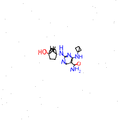 C[C@H]1[C@]2(O)CC[C@]1(Nc1ncc(C(N)=O)c(NC34CC(C3)C4)n1)CC2